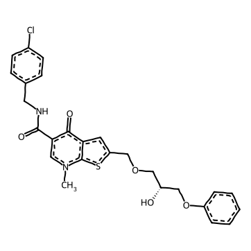 Cn1cc(C(=O)NCc2ccc(Cl)cc2)c(=O)c2cc(COC[C@@H](O)COc3ccccc3)sc21